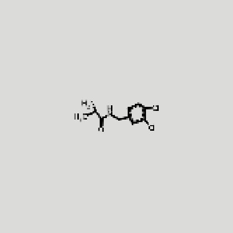 CC(N)C(=O)NCc1ccc(Cl)c(Cl)c1